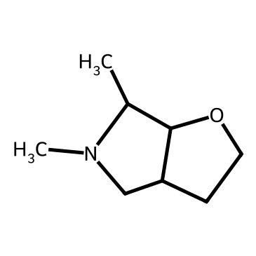 CC1C2OCCC2CN1C